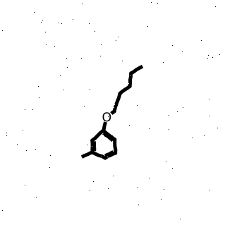 CCCCCOc1cccc(C)c1